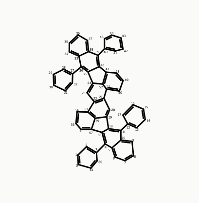 c1ccc(-c2c3ccccc3c(-c3ccccc3)c3c4cc5c(cc6c7c(-c8ccccc8)c8ccccc8c(-c8ccccc8)c7c7cccc5c76)c5cccc(c23)c54)cc1